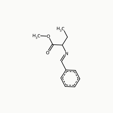 CCC(N=Cc1ccccc1)C(=O)OC